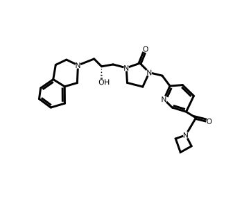 O=C(c1ccc(CN2CCN(C[C@H](O)CN3CCc4ccccc4C3)C2=O)nc1)N1CCC1